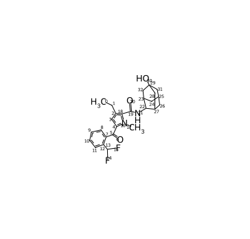 CCc1cc(C(=O)c2ccccc2C(F)F)n(C)c1C(=O)NC1C2CC3CC1CC(O)(C3)C2